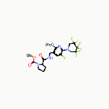 COc1nc(N2CC(F)(F)C(F)(F)C(F)(F)C2)c(F)cc1CNC(=O)C1CCCN1C(=O)OC(C)(C)C